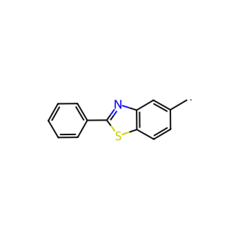 [CH2]c1ccc2sc(-c3ccccc3)nc2c1